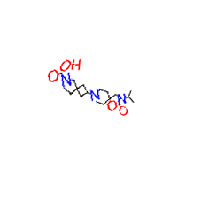 CC(C)N1CC2(CCN(C3CC4(CCN(C(=O)O)C4)C3)CC2)OC1=O